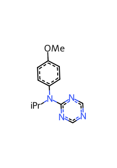 COc1ccc(N(c2ncncn2)C(C)C)cc1